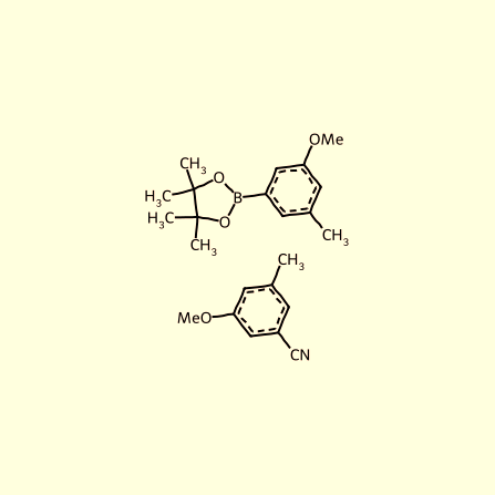 COc1cc(C)cc(B2OC(C)(C)C(C)(C)O2)c1.COc1cc(C)cc(C#N)c1